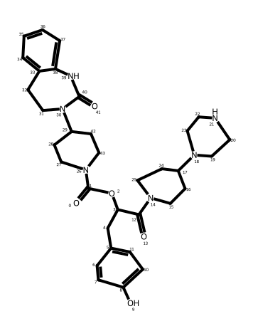 O=C(OC(Cc1ccc(O)cc1)C(=O)N1CCC(N2CCNCC2)CC1)N1CCC(N2CCc3ccccc3NC2=O)CC1